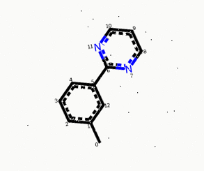 Cc1cccc(-c2n[c]ccn2)c1